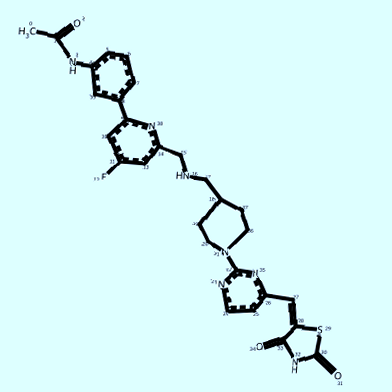 CC(=O)Nc1cccc(-c2cc(F)cc(CNCC3CCN(c4nccc(C=C5SC(=O)NC5=O)n4)CC3)n2)c1